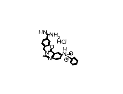 Cc1nc2ccc(NS(=O)(=O)c3ccccc3)cc2c(=O)n1Cc1ccc(C(=N)N)cc1.Cl